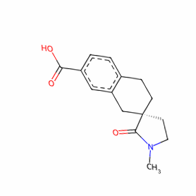 CN1CC[C@]2(CCc3ccc(C(=O)O)cc3C2)C1=O